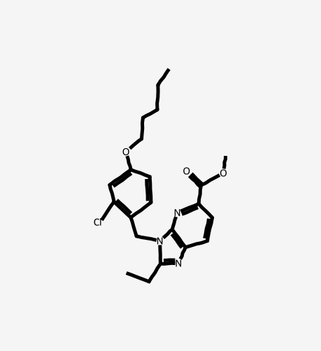 CCCCCOc1ccc(Cn2c(CC)nc3ccc(C(=O)OC)nc32)c(Cl)c1